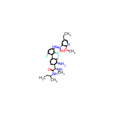 CCc1cnc(OC)c(N(O)Nc2ccc(F)c(-c3ccc(C(NC)C(=O)NC(C)CC)c(N)c3F)c2F)c1